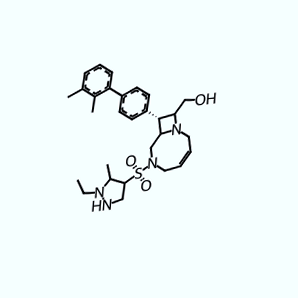 CCN1NCC(S(=O)(=O)N2C/C=C\CN3C(CO)[C@@H](c4ccc(-c5cccc(C)c5C)cc4)C3C2)C1C